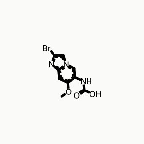 COc1cc2nc(Br)cn2cc1NC(=O)O